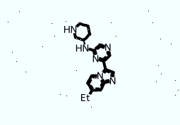 CCc1ccn2c(-c3cncc(N[C@@H]4CCCNC4)n3)cnc2c1